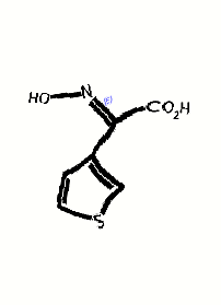 O=C(O)/C(=N/O)c1ccsc1